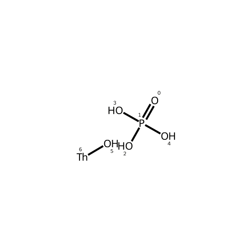 O=P(O)(O)O.[OH][Th]